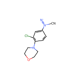 N#C[N+](=[N-])c1ccc(N2CCOCC2)c(Cl)c1